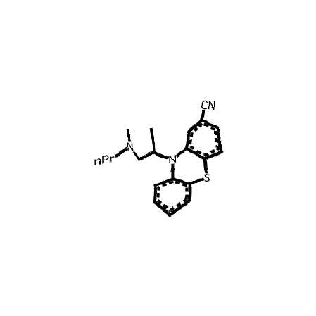 CCCN(C)CC(C)N1c2ccccc2Sc2ccc(C#N)cc21